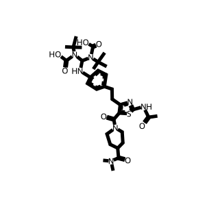 CC(=O)Nc1nc(CCc2ccc(NC(N(C(=O)O)C(C)(C)C)N(C(=O)O)C(C)(C)C)cc2)c(C(=O)N2CCC(C(=O)N(C)C)CC2)s1